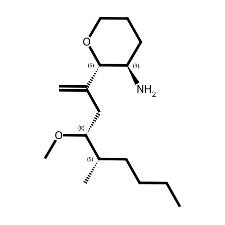 C=C(C[C@@H](OC)[C@@H](C)CCCC)[C@@H]1OCCC[C@H]1N